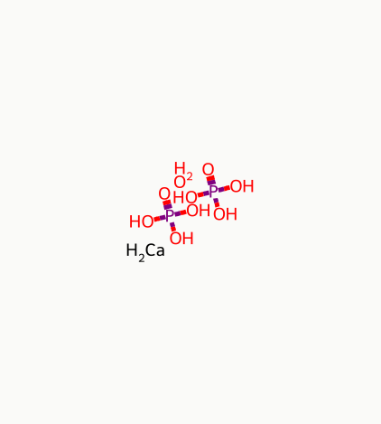 O.O=P(O)(O)O.O=P(O)(O)O.[CaH2]